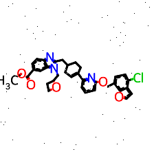 COC(=O)c1ccc2nc(CC3CC=C(c4cccc(OCc5ccc(Cl)c6ccoc56)n4)CC3)n(CC3CCO3)c2c1